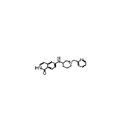 O=c1[nH]ccc2cc(NC3CCCN(Cc4ccccn4)C3)ccc12